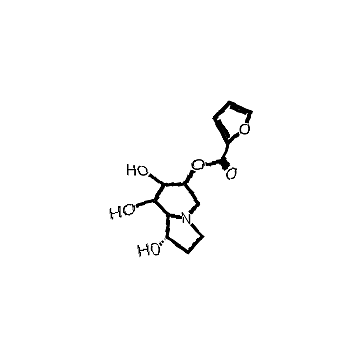 O=C(OC1CN2CC[C@H](O)C2C(O)C1O)c1ccco1